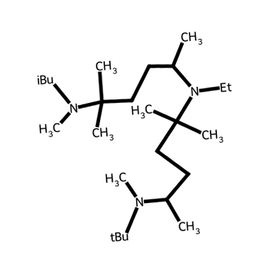 CCC(C)N(C)C(C)(C)CCC(C)N(CC)C(C)(C)CCC(C)N(C)C(C)(C)C